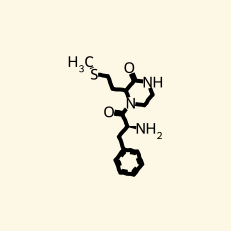 CSCCC1C(=O)NCCN1C(=O)[C@@H](N)Cc1ccccc1